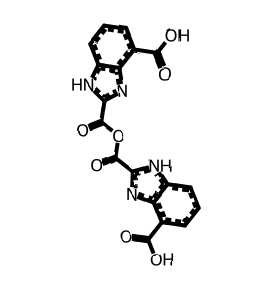 O=C(OC(=O)c1nc2c(C(=O)O)cccc2[nH]1)c1nc2c(C(=O)O)cccc2[nH]1